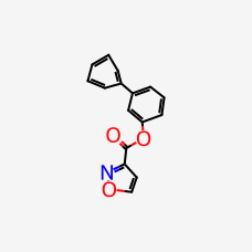 O=C(Oc1cccc(-c2ccccc2)c1)c1ccon1